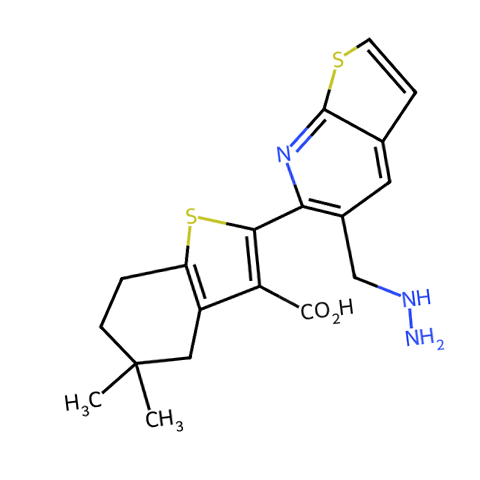 CC1(C)CCc2sc(-c3nc4sccc4cc3CNN)c(C(=O)O)c2C1